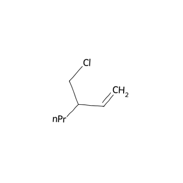 C=CC(CCl)CCC